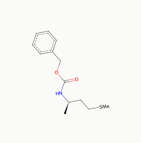 CSCC[C@@H](C)NC(=O)OCc1ccccc1